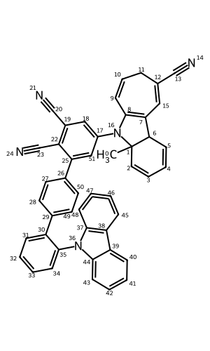 CC12C=CC=CC1C1=C(C=CCC(C#N)=C1)N2c1cc(C#N)c(C#N)c(-c2ccc(-c3ccccc3-n3c4c(c5ccccc53)C=C=C=C4)cc2)c1